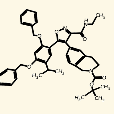 CCNC(=O)c1noc(-c2cc(C(C)C)c(OCc3ccccc3)cc2OCc2ccccc2)c1-c1ccc2c(c1)CCN(C(=O)OC(C)(C)C)C2